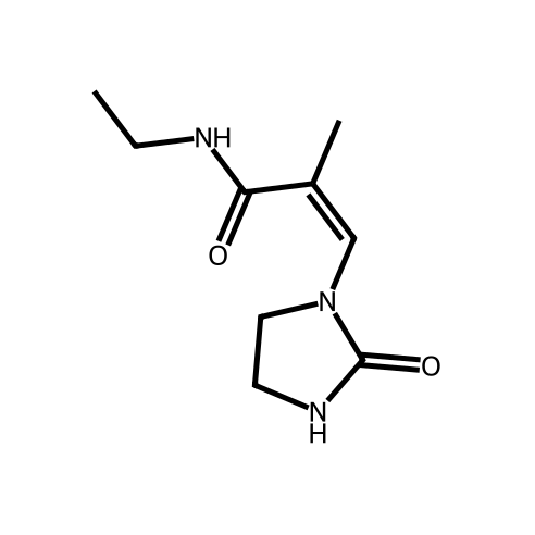 CCNC(=O)C(C)=CN1CCNC1=O